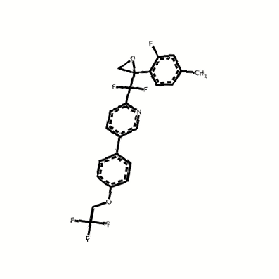 Cc1ccc(C2(C(F)(F)c3ccc(-c4ccc(OCC(F)(F)F)cc4)cn3)CO2)c(F)c1